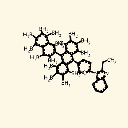 Bc1c(B)c(B)c2c(B)c(-c3c4c(B)c(B)c(B)c(B)c4c(-c4ccc(-n5c(CC)nc6ccccc65)cc4)c4c(B)c(B)c(B)c(O)c34)c(B)c(B)c2c1B